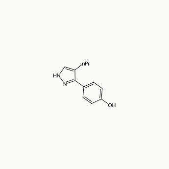 CCCc1c[nH]nc1-c1ccc(O)cc1